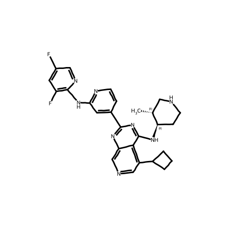 C[C@@H]1CNCC[C@H]1Nc1nc(-c2ccnc(Nc3ncc(F)cc3F)c2)nc2cncc(C3CCC3)c12